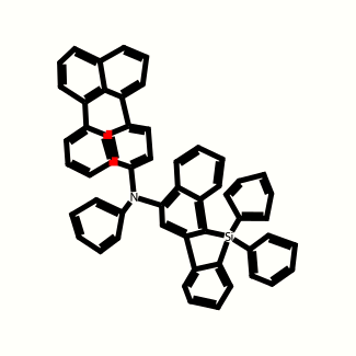 c1ccc(-c2cccc3cccc(-c4ccc(N(c5ccccc5)c5cc6c(c7ccccc57)[Si](c5ccccc5)(c5ccccc5)c5ccccc5-6)cc4)c23)cc1